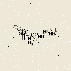 N=C(N)NCCCCNC(=O)[C@@H]1CCCN1C(=O)[C@H](N)CCC(=O)NS(=O)(=O)c1ccc2ccccc2c1